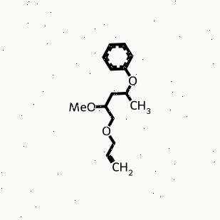 C=CCOCC(CC(C)Oc1ccccc1)OC